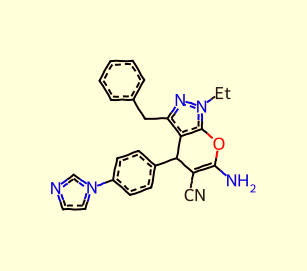 CCn1nc(Cc2ccccc2)c2c1OC(N)=C(C#N)C2c1ccc(-n2ccnc2)cc1